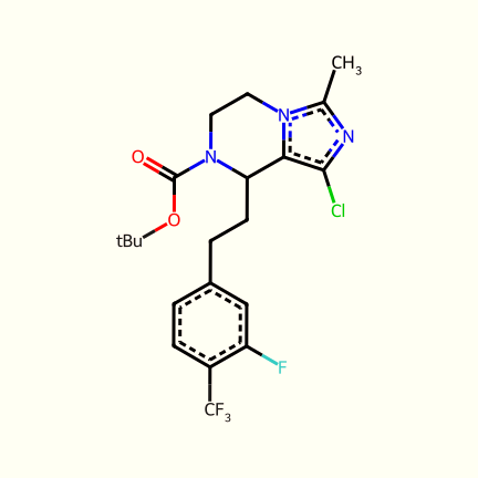 Cc1nc(Cl)c2n1CCN(C(=O)OC(C)(C)C)C2CCc1ccc(C(F)(F)F)c(F)c1